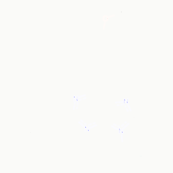 FC(F)n1cnc2c(-c3ccc(OC(F)(F)F)cc3)nc(C3CCC3)nc21